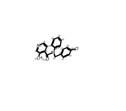 Cc1cnccc1C(=O)N(Cc1ccc(Cl)cc1)c1ccccc1